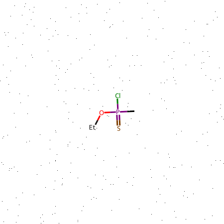 CCOP(C)(=S)Cl